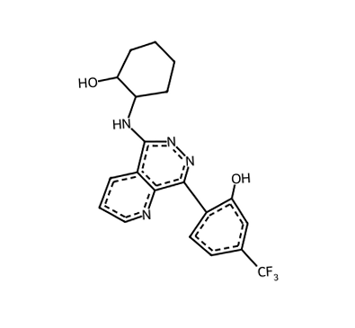 Oc1cc(C(F)(F)F)ccc1-c1nnc(NC2CCCCC2O)c2cccnc12